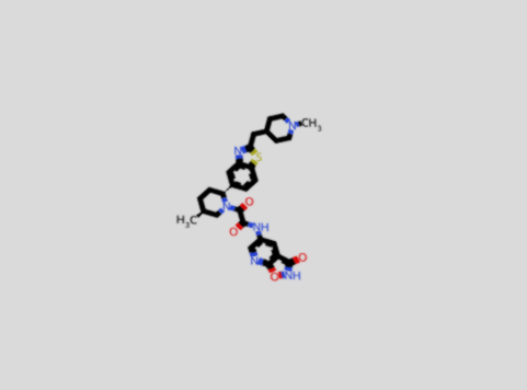 C[C@H]1CC[C@H](c2ccc3sc(CC4CCN(C)CC4)nc3c2)N(C(=O)C(=O)Nc2cnc3o[nH]c(=O)c3c2)C1